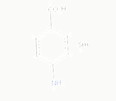 Nc1ccc(C(=O)O)cc1.[Sm]